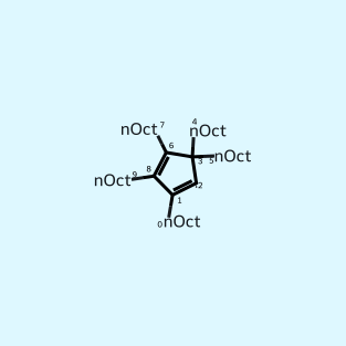 CCCCCCCCC1=[C]C(CCCCCCCC)(CCCCCCCC)C(CCCCCCCC)=C1CCCCCCCC